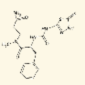 CN(CCC(N)=O)C(=O)[C@H](Cc1ccccc1)NC(=O)Nc1n[nH]c(=S)s1